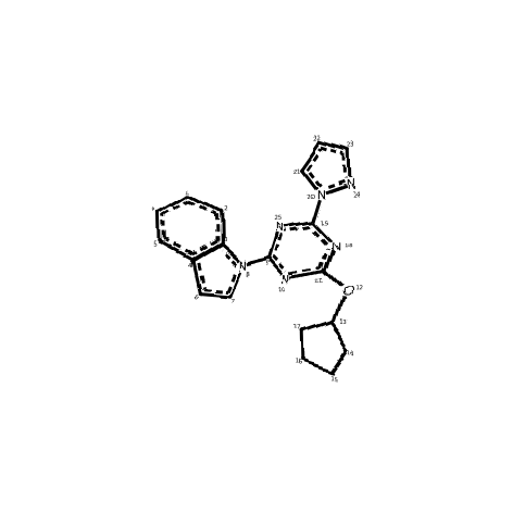 c1ccc2c(c1)ccn2-c1nc(OC2CCCC2)nc(-n2cccn2)n1